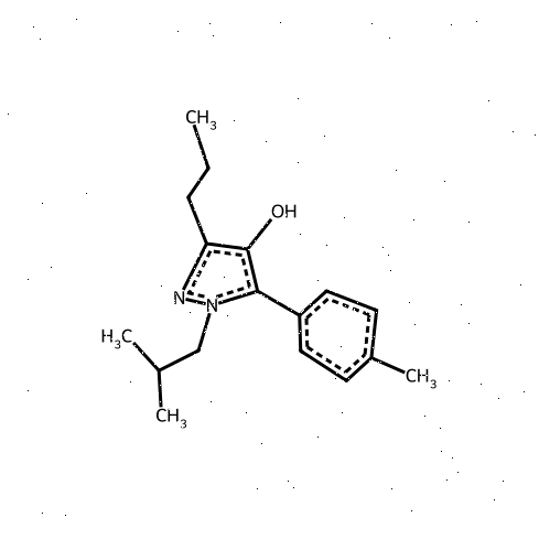 CCCc1nn(CC(C)C)c(-c2ccc(C)cc2)c1O